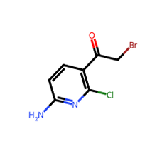 Nc1ccc(C(=O)CBr)c(Cl)n1